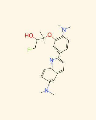 CN(C)c1ccc2nc(-c3ccc(N(C)C)c(OC(C)(C)C(O)CF)c3)ccc2c1